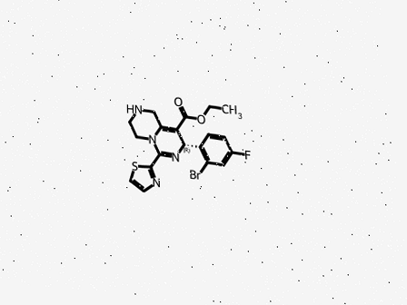 CCOC(=O)C1=C2CNCCN2C(c2nccs2)=N[C@H]1c1ccc(F)cc1Br